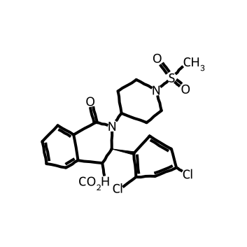 CS(=O)(=O)N1CCC(N2C(=O)c3ccccc3C(C(=O)O)[C@@H]2c2ccc(Cl)cc2Cl)CC1